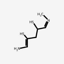 C/N=C\C(S)C/C(S)=C/N